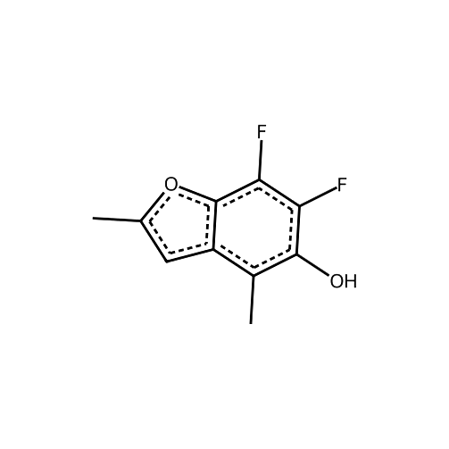 Cc1cc2c(C)c(O)c(F)c(F)c2o1